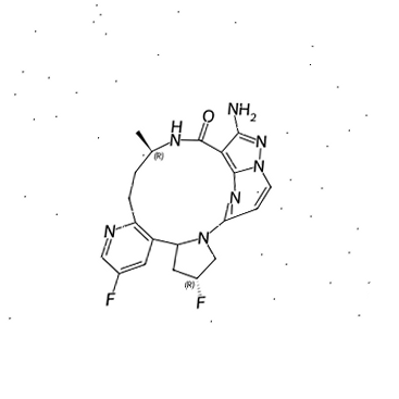 C[C@@H]1CCc2ncc(F)cc2C2C[C@@H](F)CN2c2ccn3nc(N)c(c3n2)C(=O)N1